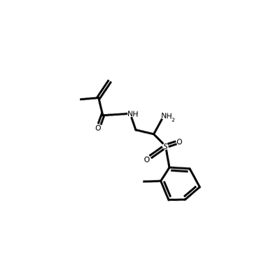 C=C(C)C(=O)NCC(N)S(=O)(=O)c1ccccc1C